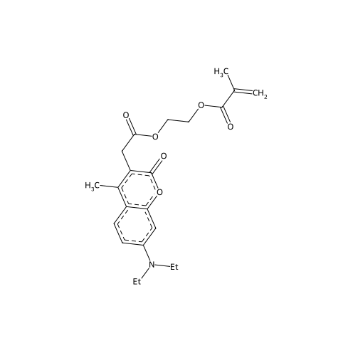 C=C(C)C(=O)OCCOC(=O)Cc1c(C)c2ccc(N(CC)CC)cc2oc1=O